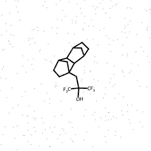 OC(CC12CCC(C1)C1C3CCC(C3)C12)(C(F)(F)F)C(F)(F)F